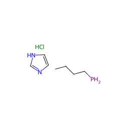 CCCCP.Cl.c1c[nH]cn1